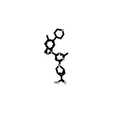 Cc1nc(N2CC3CC2CC3C(=O)O)cc(-n2ncc3cc(C)c(C4CCOCC4)cc32)n1